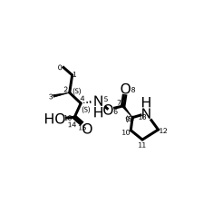 CC[C@H](C)[C@H](NOC(=O)[C@@H]1CCCN1)C(=O)O